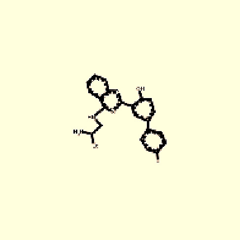 CCC(N)CNc1nc(-c2cc(-c3ccc(F)cc3)ccc2O)nc2ccccc12